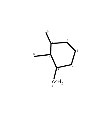 CC1CCCC([AsH2])C1C